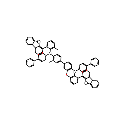 Cc1cc(-c2ccc(N(c3ccc(-c4ccccc4)cc3)c3c(C)cccc3-c3cccc4c3oc3ccccc34)c(C)c2)ccc1N(c1ccc(-c2ccccc2)cc1)c1c(C)cccc1-c1cccc2c1oc1ccccc12